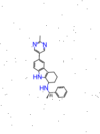 Cc1ncc(-c2ccc3[nH]c4c(c3c2)CCCC4N[C@H](C)c2ccccc2)cn1